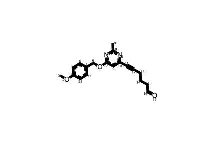 COc1ccc(COc2cc(C#CCCCC=O)nc(C)n2)cc1